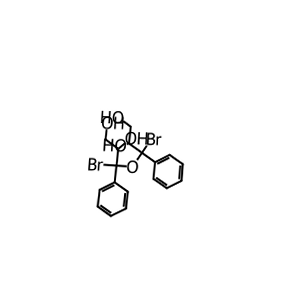 OCC(O)C(Br)(OC(Br)(c1ccccc1)C(O)CO)c1ccccc1